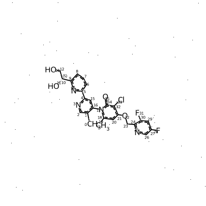 Cc1cnc(-c2cccc([C@H](O)CO)n2)cc1-n1c(C)cc(OCc2ncc(F)cc2F)c(Cl)c1=O